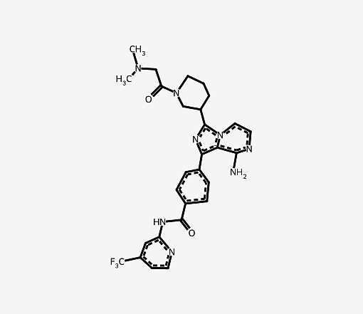 CN(C)CC(=O)N1CCCC(c2nc(-c3ccc(C(=O)Nc4cc(C(F)(F)F)ccn4)cc3)c3c(N)nccn23)C1